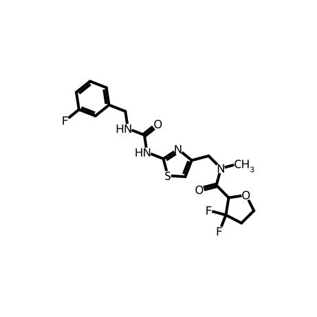 CN(Cc1csc(NC(=O)NCc2cccc(F)c2)n1)C(=O)C1OCCC1(F)F